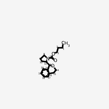 CCCCOC(=O)N1CCCC1C1OCCc2ccccc21